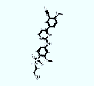 COc1ccc(-c2ccnc(Nc3ccc(S(=O)(=O)NCCO)c(OC)c3)n2)cc1C#N